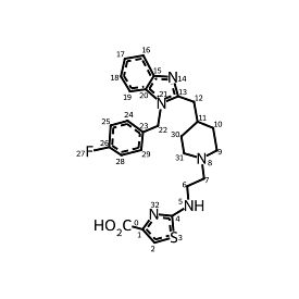 O=C(O)c1csc(NCCN2CCC(Cc3nc4ccccc4n3Cc3ccc(F)cc3)CC2)n1